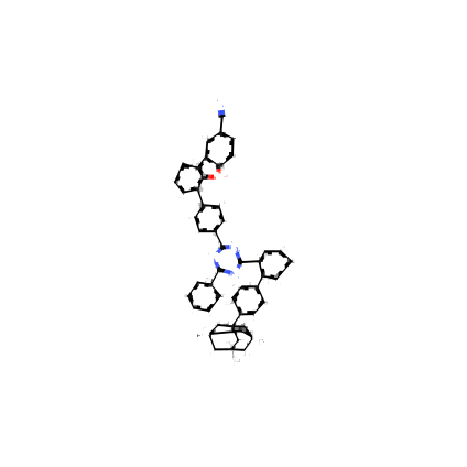 N#Cc1ccc2oc3c(-c4ccc(-c5nc(-c6ccccc6)nc(-c6ccccc6-c6ccc(C78C[C@H]9C[C@@H](C7)C[C@@H](C8)C9)cc6)n5)cc4)cccc3c2c1